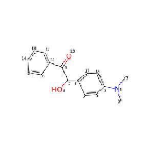 CN(C)c1ccc(C(O)C(=O)c2ccccc2)cc1